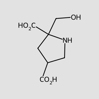 O=C(O)C1CNC(CO)(C(=O)O)C1